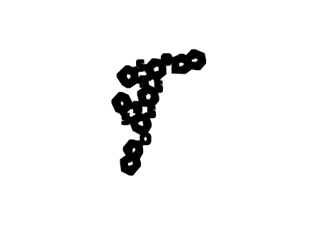 c1ccc2c(c1)Sc1cc(Oc3ccc4ccccc4c3)cc3c1B2c1cc2c(cc1S3)Sc1cc(Oc3ccc4ccccc4c3)cc3c1B2c1ccccc1S3